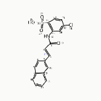 O=C(/C=C/c1ccc2ccccc2c1)Nc1cc(Cl)ccc1S(=O)(=O)O